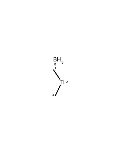 B.[CH3][Ti][CH3]